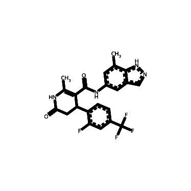 CC1=C(C(=O)Nc2cc(C)c3[nH]ncc3c2)C(c2ccc(C(F)(F)F)cc2F)CC(=O)N1